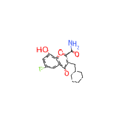 NC(=O)c1oc2c(O)cc(F)cc2c(=O)c1CC1CCCCC1